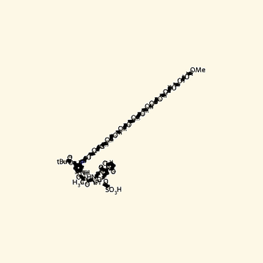 COCCOCCOCCOCCOCCOCCOCOCCOCCOCCOCCOCCOCCOCCOCCOCCOC/C=C/c1cc(NC(=O)[C@H](C)NC(=O)[C@@H](NC(=O)CN2C(=O)[C@@H](N3C(=O)C=CC3=O)C[C@H]2COCCS(=O)(=O)O)C(C)C)ccc1COC(=O)C(C)(C)C